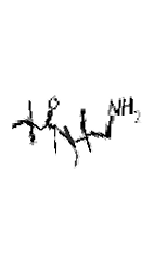 CC(C)(CN)NC(=O)C(C)(C)C